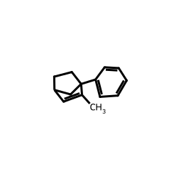 CC1=CC2CCC1(c1ccccc1)C2